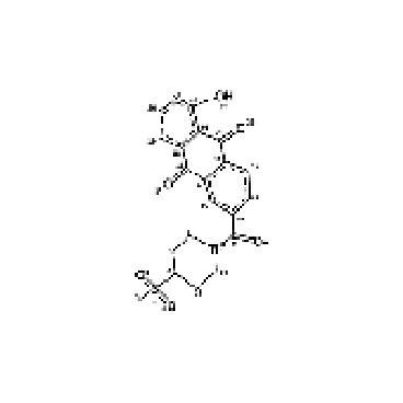 CS(=O)(=O)C1CCN(C(=O)c2ccc3c(c2)C(=O)c2cccc(O)c2C3=O)CC1